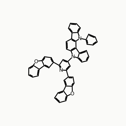 c1ccc(-n2c3ccccc3c3ccc4c(c5ccccc5n4-c4cc(-c5ccc6oc7ccccc7c6c5)nc(-c5ccc6oc7ccccc7c6c5)c4)c32)cc1